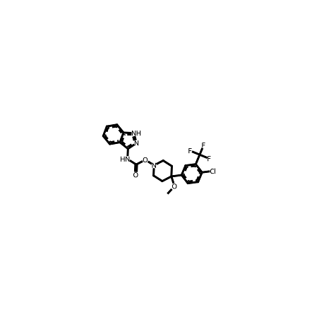 COC1(c2ccc(Cl)c(C(F)(F)F)c2)CCN(OC(=O)Nc2n[nH]c3ccccc23)CC1